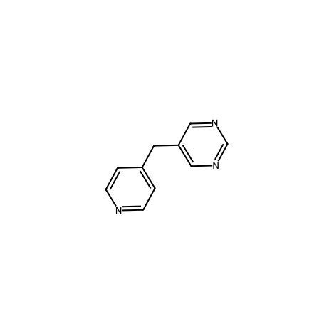 c1cc(Cc2cncnc2)ccn1